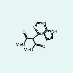 COC(=O)C(C(=O)OC)c1ncnc2[nH]ccc12